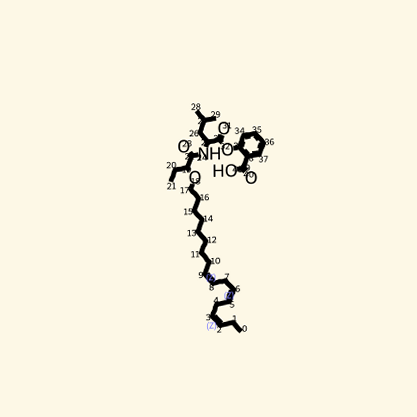 CC/C=C\C/C=C\C/C=C\CCCCCCCCOC(CC)C(=O)NC(CC(C)C)C(=O)Oc1ccccc1C(=O)O